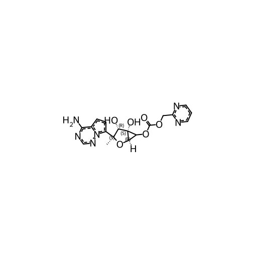 C[C@@]1(c2ccc3c(N)ncnn23)O[C@@H]2C(OC(=O)OCc3ncccn3)[C@]2(O)[C@H]1O